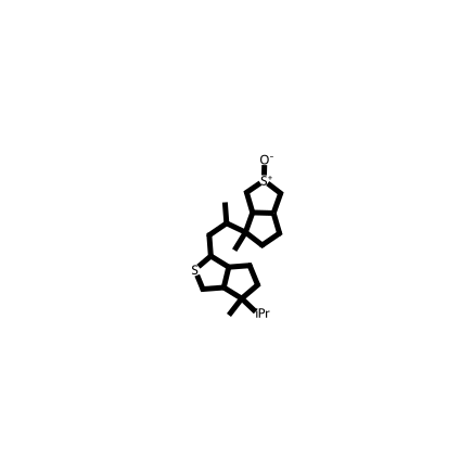 CC(C)C1(C)CCC2C(CC(C)C3(C)CCC4C[S+]([O-])CC43)SCC21